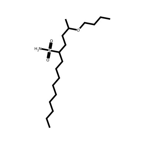 CCCCCCCCCC(CCC(C)OCCCC)S(N)(=O)=O